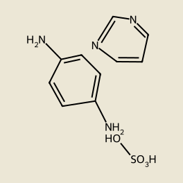 Nc1ccc(N)cc1.O=S(=O)(O)O.c1cncnc1